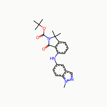 Cn1ncc2cc(Nc3cccc4c3C(=O)N(C(=O)OC(C)(C)C)C4(C)C)ccc21